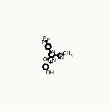 Cn1cc(-c2nc(-c3ccc(C(F)(F)F)cc3)cc3c(=O)n(C4CCCC(O)C4)cnc23)cn1